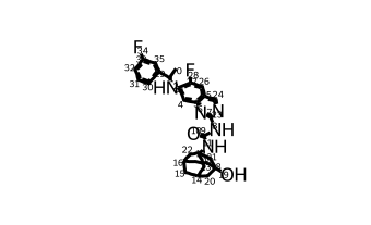 CC(Nc1cc2nc(NC(=O)NC34CC5CC(CC(O)(C5)C3)C4)ncc2cc1F)c1cccc(F)c1